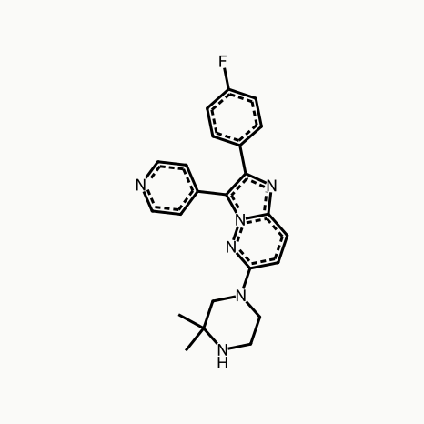 CC1(C)CN(c2ccc3nc(-c4ccc(F)cc4)c(-c4ccncc4)n3n2)CCN1